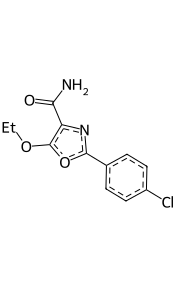 CCOc1oc(-c2ccc(Cl)cc2)nc1C(N)=O